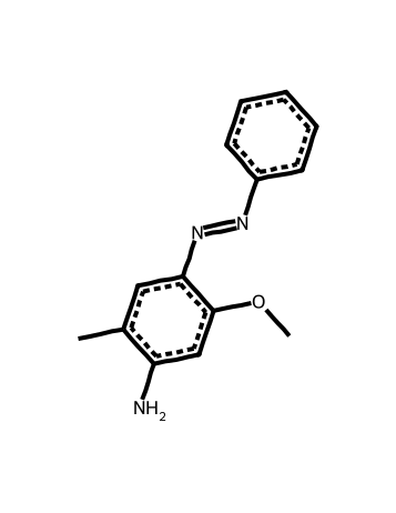 COc1cc(N)c(C)cc1N=Nc1ccccc1